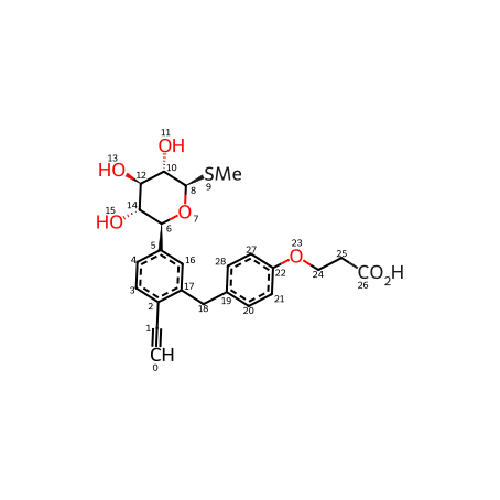 C#Cc1ccc([C@@H]2O[C@H](SC)[C@@H](O)[C@H](O)[C@H]2O)cc1Cc1ccc(OCCC(=O)O)cc1